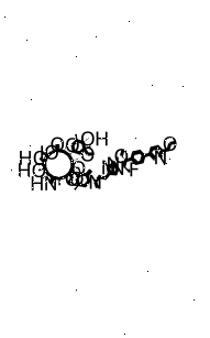 C=C1[C@H](O[C@@H]2[C@@H](C)C([C@H]3C[C@@](C)(OC)[C@@H](O)[C@H](C)O3)[C@@H](C)C(=O)O[C@H](I)[C@@](C)(O)[C@H](O)[C@@H](C)C(=N)[C@H](C)C[C@@]2(C)OC)O[C@H](C)C[C@@H]1N(C)CCc1cn([C@H](CF)[C@H](OC)c2ccc(-c3ccc(COC)nc3)cc2)nn1